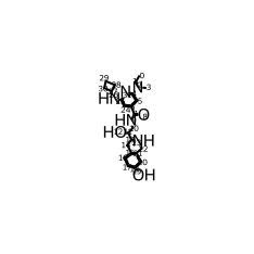 CCN(C)c1cc(C(=O)NCC(O)C2Cc3ccc(O)cc3CN2)cc(NC2CCC2)n1